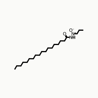 CCCCCCCCCCCCCCCCCC(=O)N[NH+]([O-])CCC